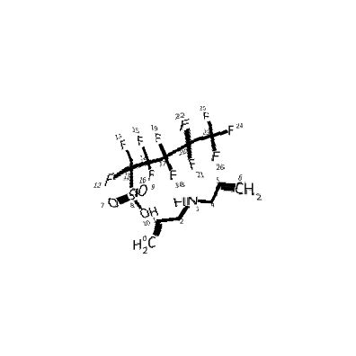 C=CCNCC=C.O=S(=O)(O)C(F)(F)C(F)(F)C(F)(F)C(F)(F)C(F)(F)F